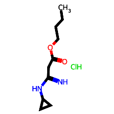 CCCCOC(=O)CC(=N)NC1CC1.Cl